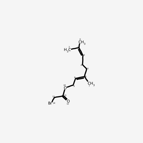 CC(C)=CCCC(C)=CCOC(=O)CBr